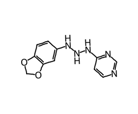 c1cc(NNNc2ccc3c(c2)OCO3)ncn1